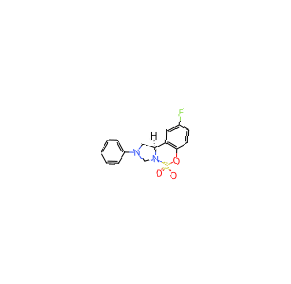 O=S1(=O)Oc2ccc(F)cc2[C@@H]2CN(c3ccccc3)CN21